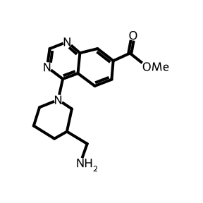 COC(=O)c1ccc2c(N3CCCC(CN)C3)ncnc2c1